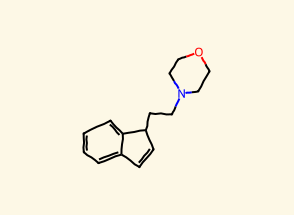 C1=CC(CCN2CCOCC2)c2ccccc21